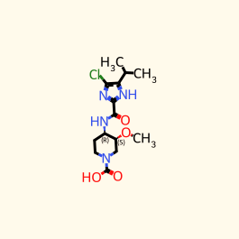 CO[C@H]1CN(C(=O)O)CC[C@H]1NC(=O)c1nc(Cl)c(C(C)C)[nH]1